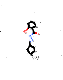 O=C(O)c1ccc(/C=N/NC(=O)c2ccccc2O)cc1